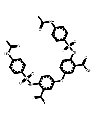 CC(=O)Nc1ccc(S(=O)(=O)Nc2ccc(Oc3ccc(NS(=O)(=O)c4ccc(NC(C)=O)cc4)c(C(=O)O)c3)cc2C(=O)O)cc1